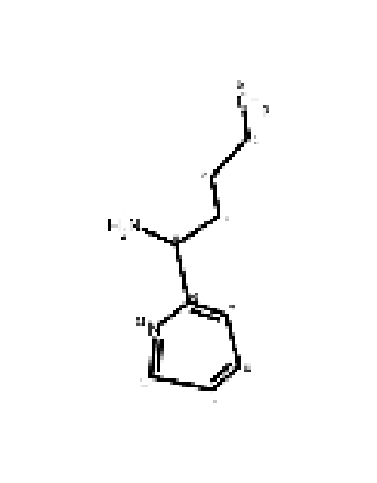 CCCCC(N)c1ccccn1